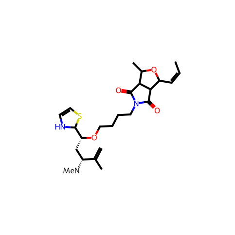 C=C(C)[C@@H](C[C@@H](OCCCCN1C(=O)C2C(C)OC(/C=C\C)C2C1=O)C1NC=CS1)NC